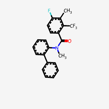 Cc1c(F)ccc(C(=O)N(C)c2ccccc2-c2ccccc2)c1C(F)(F)F